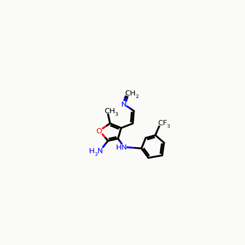 C=N/C=C\c1c(C)oc(N)c1Nc1cccc(C(F)(F)F)c1